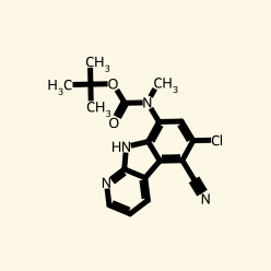 CN(C(=O)OC(C)(C)C)c1cc(Cl)c(C#N)c2c1[nH]c1ncccc12